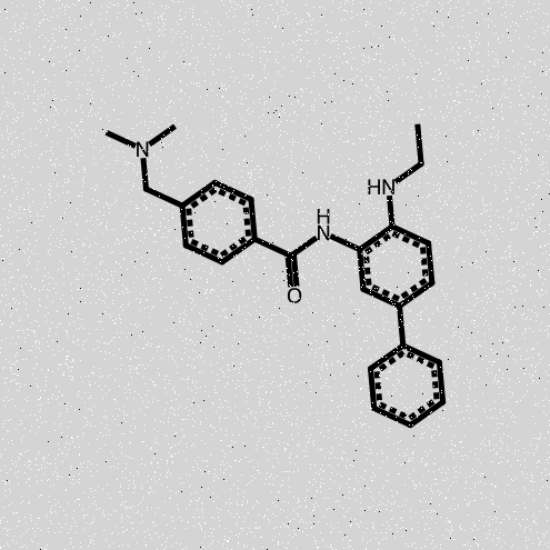 CCNc1ccc(-c2ccccc2)cc1NC(=O)c1ccc(CN(C)C)cc1